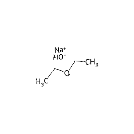 CCOCC.[Na+].[OH-]